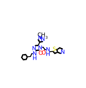 Cn1cc(-c2cnc(NCCc3ccccc3)c(=O)n2CC(=O)NCc2cc3cnccc3s2)cn1